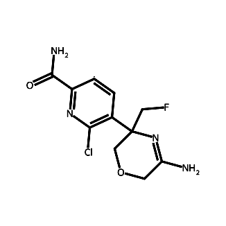 NC(=O)c1[c]cc(C2(CF)COCC(N)=N2)c(Cl)n1